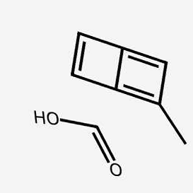 Cc1cc2ccc1-2.O=CO